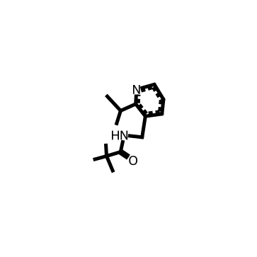 CC(C)c1ncccc1CNC(=O)C(C)(C)C